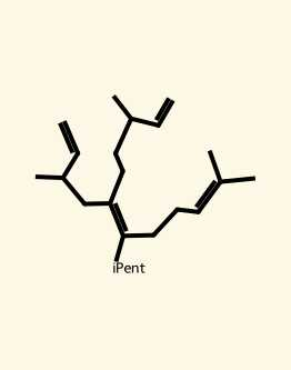 C=CC(C)CCC(CC(C)C=C)=C(CCC=C(C)C)C(C)CCC